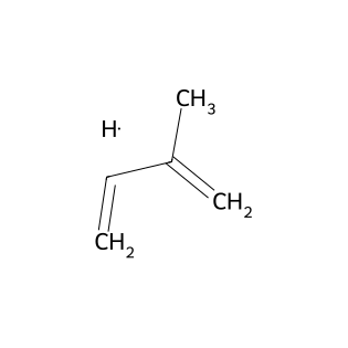 C=CC(=C)C.[H]